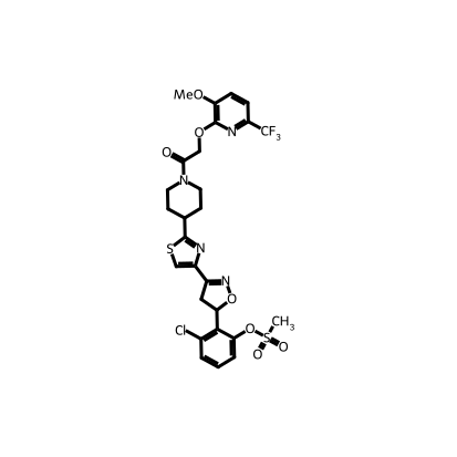 COc1ccc(C(F)(F)F)nc1OCC(=O)N1CCC(c2nc(C3=NOC(c4c(Cl)cccc4OS(C)(=O)=O)C3)cs2)CC1